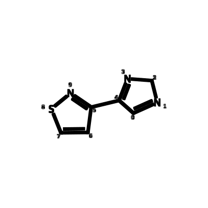 C1=NCN=C1c1ccsn1